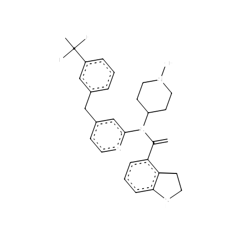 CN1CCC(N(C(=O)c2cccc3c2CCN3)c2cc(Cc3cccc(C(F)(F)F)c3)ccn2)CC1